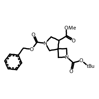 COC(=O)C1CN(C(=O)OCc2ccccc2)CC12CN(C(=O)OC(C)(C)C)C2